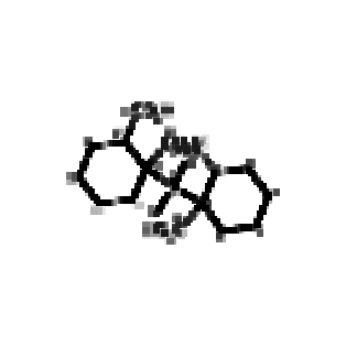 C[Si](C)(C1(C(=O)O)CCCCC1C(=O)O)C1(C(=O)O)CCCCC1C(=O)O